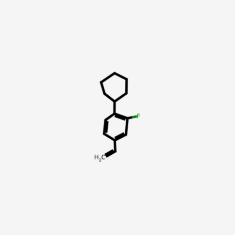 C=Cc1ccc(C2CCCCC2)c(F)c1